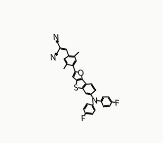 Cc1cc(-c2cc3sc4cc(N(c5ccc(F)cc5)c5ccc(F)cc5)ccc4c3o2)c(C)cc1C=C(C#N)C#N